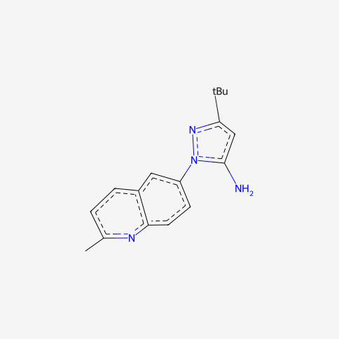 Cc1ccc2cc(-n3nc(C(C)(C)C)cc3N)ccc2n1